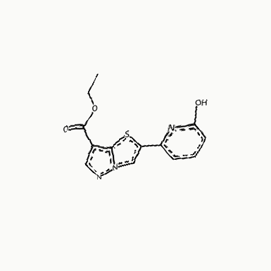 CCOC(=O)c1cnn2cc(-c3cccc(O)n3)sc12